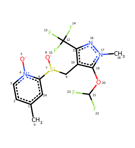 Cc1cc[n+]([O-])c([S+]([O-])Cc2c(C(F)(F)F)nn(C)c2OC(F)F)c1